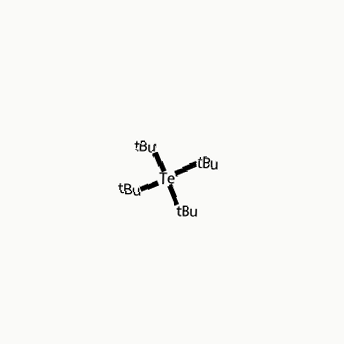 CC(C)(C)[Te](C(C)(C)C)(C(C)(C)C)C(C)(C)C